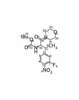 CC(c1ccc([N+](=O)[O-])c(F)c1)C(NC(=O)OC(C)(C)C)C(=O)N1CCOCC1